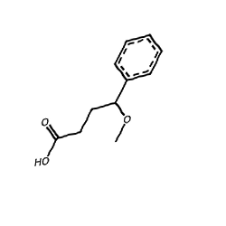 COC(CCC(=O)O)c1ccccc1